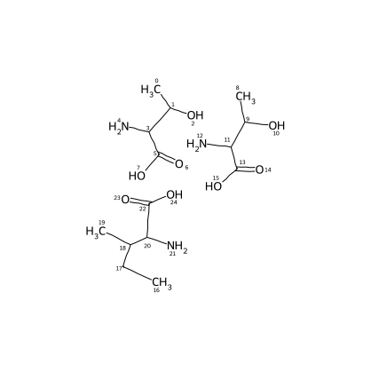 CC(O)C(N)C(=O)O.CC(O)C(N)C(=O)O.CCC(C)C(N)C(=O)O